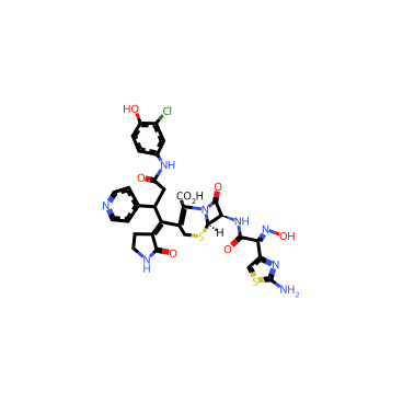 Nc1nc(C(=NO)C(=O)N[C@@H]2C(=O)N3C(C(=O)O)=C(C(=C4CCNC4=O)C(CC(=O)Nc4ccc(O)c(Cl)c4)c4ccncc4)CS[C@H]23)cs1